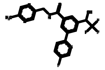 Cc1cnc(CNC(=O)c2cc(-c3ccc(F)cn3)cc(C(O)C(F)(F)F)c2)cn1